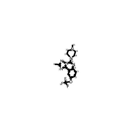 Cc1nc2c3cc(OC(F)(F)F)ccc3nc(N3CCN(C)CC3)n2n1